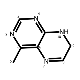 Cc1ncnc2c1N=CCN2